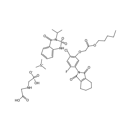 CC(C)N1C(=O)c2ccccc2NS1(=O)=O.CCCCCOC(=O)COc1cc(N2C(=O)C3=C(CCCC3)C2=O)c(F)cc1Cl.C[S+](C)C.O=C(O)CNCP(=O)([O-])O